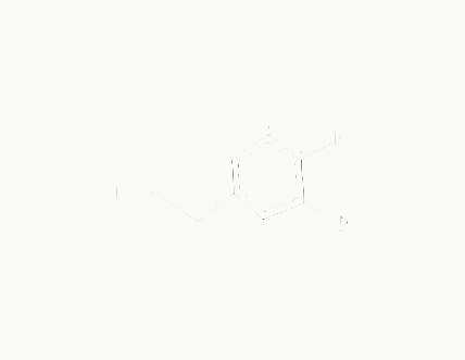 CCOC(=O)Cc1ccc(Br)c(C#N)c1